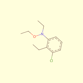 CCON(CC)c1cccc(Cl)c1CC